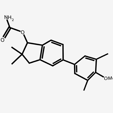 COc1c(C)cc(-c2ccc3c(c2)CC(C)(C)C3OC(N)=O)cc1C